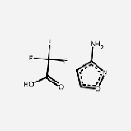 Nc1ccon1.O=C(O)C(F)(F)F